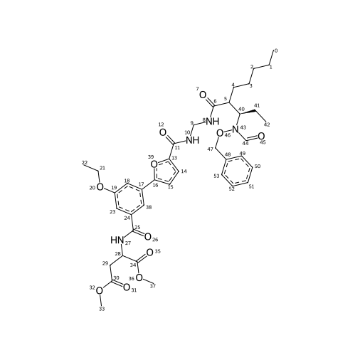 CCCCCC(C(=O)NCNC(=O)c1ccc(-c2cc(OCC)cc(C(=O)NC(CC(=O)OC)C(=O)OC)c2)o1)[C@@H](CC)N(C=O)OCc1ccccc1